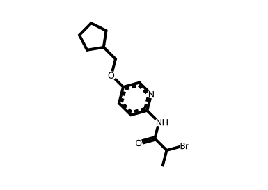 CC(Br)C(=O)Nc1ccc(OCC2CCCC2)cn1